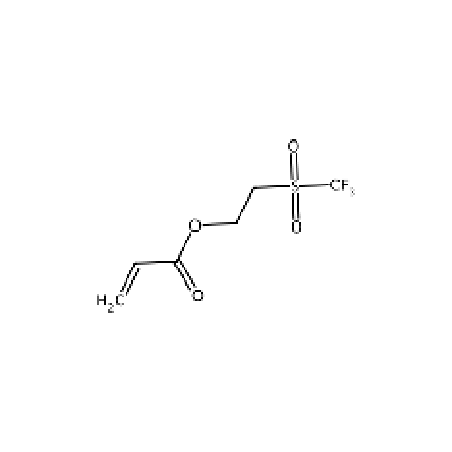 C=CC(=O)OCCS(=O)(=O)C(F)(F)F